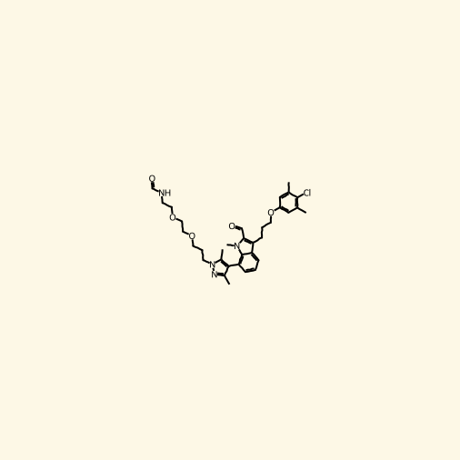 Cc1cc(OCCCc2c(C=O)n(C)c3c(-c4c(C)nn(CCCOCCOCCNC=O)c4C)cccc23)cc(C)c1Cl